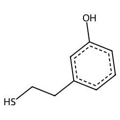 Oc1cccc(CCS)c1